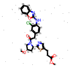 COC(=O)CCc1cnc([C@@H]2C[C@H](OC)CN2C(=O)Cc2ccc(Nc3nc4ccccc4o3)c(Cl)c2)s1